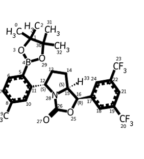 CC1(C)OB(c2ccc(C(F)(F)F)cc2[C@@H]2CC[C@H]3[C@@H](c4cc(C(F)(F)F)cc(C(F)(F)F)c4)OC(=O)N23)OC1(C)C